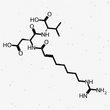 CC(C)[C@H](NC(=O)[C@H](CC(=O)O)NC(=O)C=CCCCCCNC(=N)N)C(=O)O